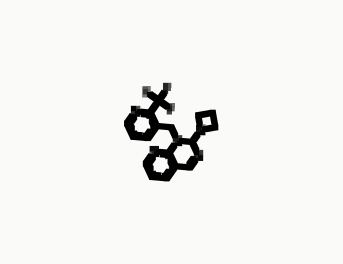 FC(F)(F)c1ncccc1CN1c2ncccc2C=NC1N1CCC1